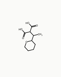 CC(C1CCCCO1)C(C(=O)O)C(=O)O